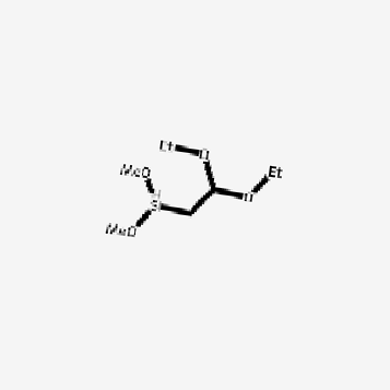 CCOC(C[SiH](OC)OC)OCC